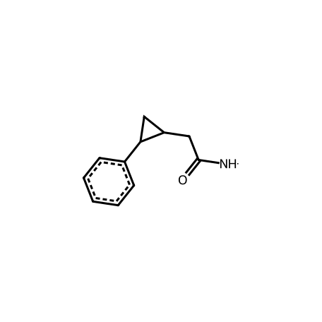 [NH]C(=O)CC1CC1c1ccccc1